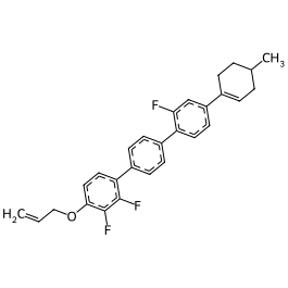 C=CCOc1ccc(-c2ccc(-c3ccc(C4=CCC(C)CC4)cc3F)cc2)c(F)c1F